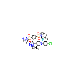 Cc1nn(C)c(C2=CCN(c3ccc(Cl)cc3F)CC2)c1-c1cc(S(=O)(=O)N(C)C)ccc1S(N)(=O)=O